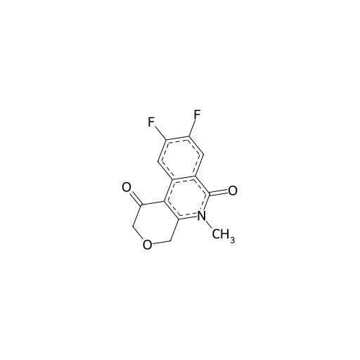 Cn1c2c(c3cc(F)c(F)cc3c1=O)C(=O)COC2